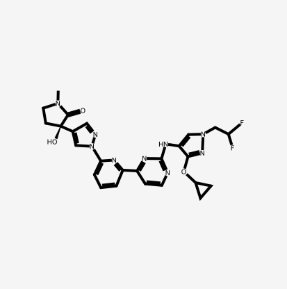 CN1CC[C@@](O)(c2cnn(-c3cccc(-c4ccnc(Nc5cn(CC(F)F)nc5OC5CC5)n4)n3)c2)C1=O